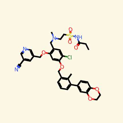 CCC(=O)NS(=O)(=O)CCN(C)Cc1cc(Cl)c(OCc2cccc(-c3ccc4c(c3)OCCO4)c2C)cc1OCc1cncc(C#N)c1